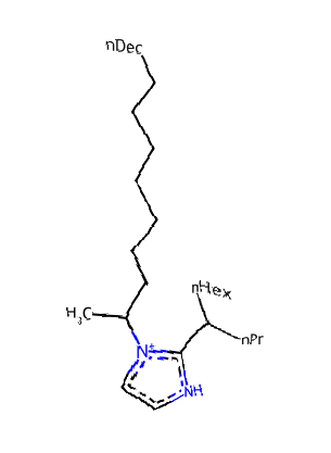 CCCCCCCCCCCCCCCCCC(C)[n+]1cc[nH]c1C(CCC)CCCCCC